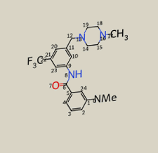 CNc1cccc(C(=O)Nc2cc(CN3CCN(C)CC3)cc(C(F)(F)F)c2)c1